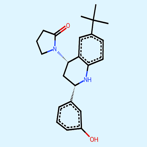 CC(C)(C)c1ccc2c(c1)[C@@H](N1CCCC1=O)C[C@@H](c1cccc(O)c1)N2